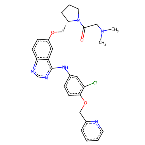 CN(C)CC(=O)N1CCC[C@H]1COc1ccc2ncnc(Nc3ccc(OCc4ccccn4)c(Cl)c3)c2c1